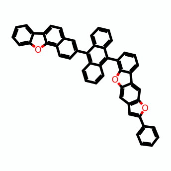 c1ccc(-c2cc3cc4oc5c(-c6c7ccccc7c(-c7ccc8c(ccc9c%10ccccc%10oc89)c7)c7ccccc67)cccc5c4cc3o2)cc1